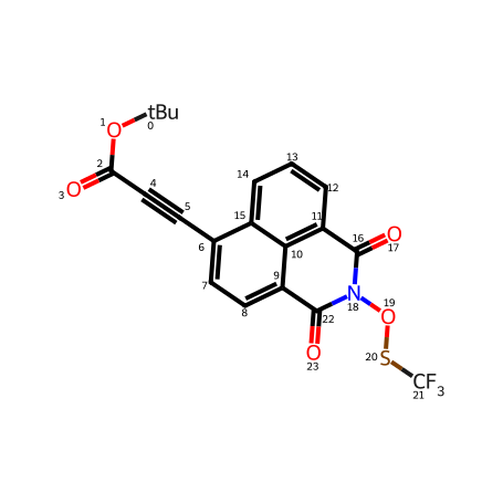 CC(C)(C)OC(=O)C#Cc1ccc2c3c(cccc13)C(=O)N(OSC(F)(F)F)C2=O